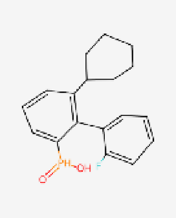 O=[PH](O)c1cccc(C2CCCCC2)c1-c1ccccc1F